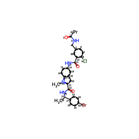 CC(C)C(=O)NCc1ccc(Cl)c(C(=O)Nc2ccc3c(c2)cc(C(=O)NC(C)c2ccc(Br)cc2)n3C)c1